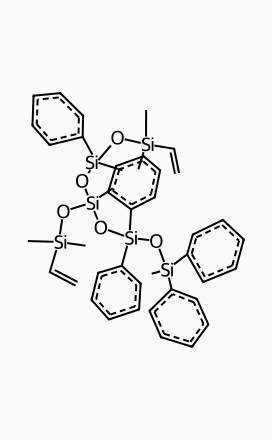 C=C[Si](C)(C)O[Si](C)(O[Si](C)(O[Si](C)(C)C=C)c1ccccc1)O[Si](O[Si](C)(c1ccccc1)c1ccccc1)(c1ccccc1)c1ccccc1